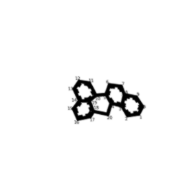 c1ccc2c3c(ccc2c1)-c1cccc2cccc(c12)C3